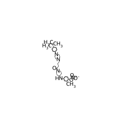 Cc1cc(NC2CCN(C(=O)CCCN3CCN(c4ccc(C(C)(C)C)cc4)CC3)CC2)ccc1O[N+](=O)[O-]